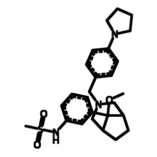 COC1(c2cccc(NS(C)(=O)=O)c2)C2CCC1CN(Cc1ccc(N3CCCC3)cc1)C2